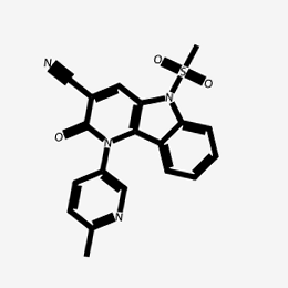 Cc1ccc(-n2c(=O)c(C#N)cc3c2c2ccccc2n3S(C)(=O)=O)cn1